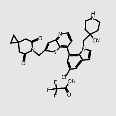 N#CC1(Cn2ccc3cc(Cl)cc(-c4ccnc5cc(CN6C(=O)CC7(CC7)CC6=O)sc45)c32)CCNCC1.O=C(O)C(F)(F)F